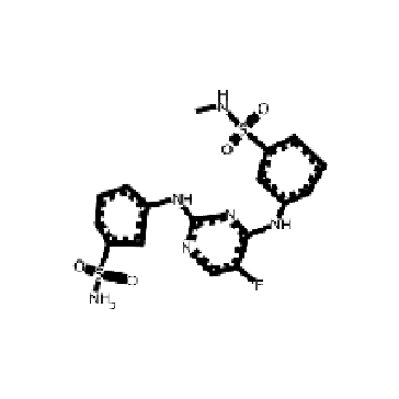 CNS(=O)(=O)c1cccc(Nc2nc(Nc3cccc(S(N)(=O)=O)c3)ncc2F)c1